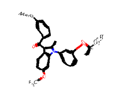 CCOC(=O)[C@@H](C)Oc1cccc(-n2c(C)c(C(=O)c3cccc(OC)c3)c3ccc(OC(F)(F)F)cc32)c1